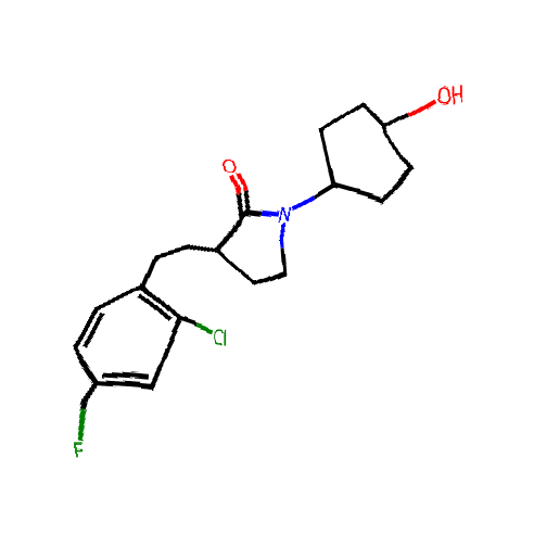 O=C1C(Cc2ccc(F)cc2Cl)CCN1C1CCC(O)CC1